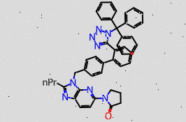 CCCc1nc2ccc(N3CCCC3=O)nc2n1Cc1ccc(-c2ccccc2-c2nnnn2C(c2ccccc2)(c2ccccc2)c2ccccc2)cc1